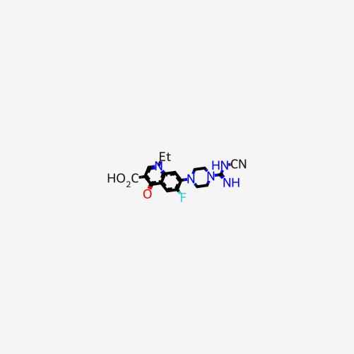 CCn1cc(C(=O)O)c(=O)c2cc(F)c(N3CCN(C(=N)NC#N)CC3)cc21